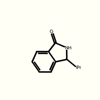 CC(C)C1NC(=O)c2ccccc21